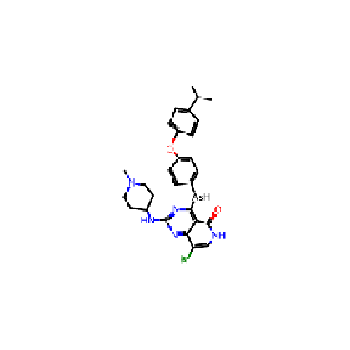 CC(C)c1ccc(Oc2ccc([AsH]c3nc(NC4CCN(C)CC4)nc4c(Br)c[nH]c(=O)c34)cc2)cc1